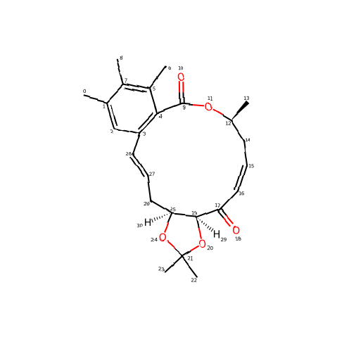 Cc1cc2c(c(C)c1C)C(=O)O[C@@H](C)C/C=C\C(=O)[C@H]1OC(C)(C)O[C@H]1C/C=C/2